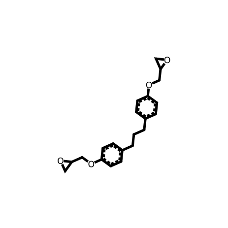 c1cc(OCC2CO2)ccc1CCCc1ccc(OCC2CO2)cc1